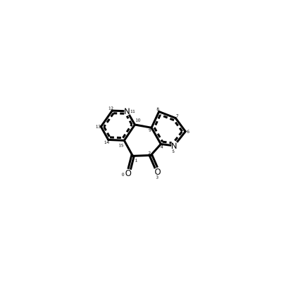 O=C1C(=O)c2ncccc2-c2ncccc21